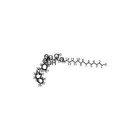 CCCCCCCCCCCCCCCCOCC(COP(=O)(O)Oc1cccc(C[n+]2ccc3ccccc3c2)c1)OC